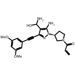 C=CC(=O)N1CC[C@H](n2nc(C#Cc3cc(OC)cc(OC)c3)c(C(N)O)c2N)C1